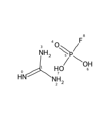 N=C(N)N.O=P(O)(O)F